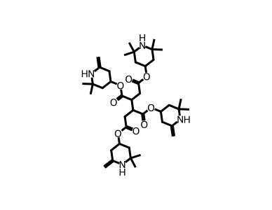 C=C1CC(OC(=O)CC(C(=O)OC2CC(=C)NC(C)(C)C2)C(CC(=O)OC2CC(C)(C)NC(C)(C)C2)C(=O)OC2CC(=C)NC(C)(C)C2)CC(C)(C)N1